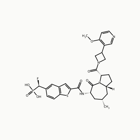 COc1ccncc1C1CN(C(=O)[C@@H]2CC[C@@H]3C[C@H](C)C[C@H](NC(=O)c4cc5cc([C@H](F)P(=O)(O)O)ccc5s4)C(=O)N32)C1